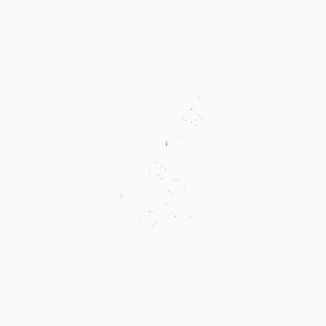 Cc1ccc(C(OCc2cn(Cc3cccc(Cn4cc(C(=O)O)nn4)c3)nn2)C(C)(C)C(=O)O)cc1CN1C[C@@H](C)Oc2ccccc2S1(=O)=O